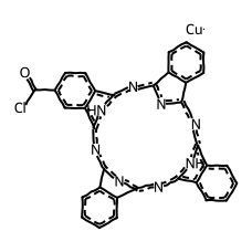 O=C(Cl)c1ccc2c3nc4nc(nc5[nH]c(nc6nc(nc([nH]3)c2c1)-c1ccccc1-6)c1ccccc51)-c1ccccc1-4.[Cu]